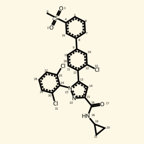 CS(=O)(=O)c1cccc(-c2ccc(-c3cc(C(=O)NC4CC4)nn3-c3c(Cl)cccc3Cl)c(Cl)c2)c1